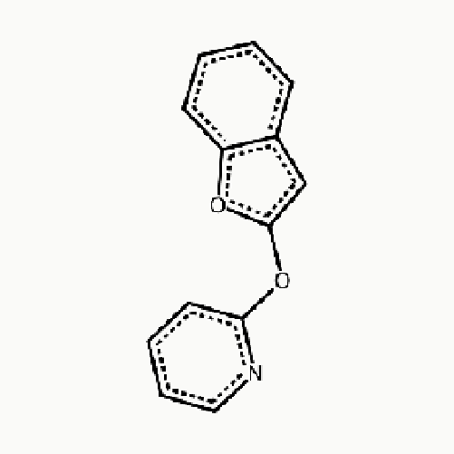 c1ccc(Oc2cc3ccccc3o2)nc1